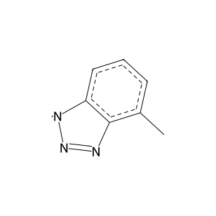 Cc1cccc2c1N=N[N]2